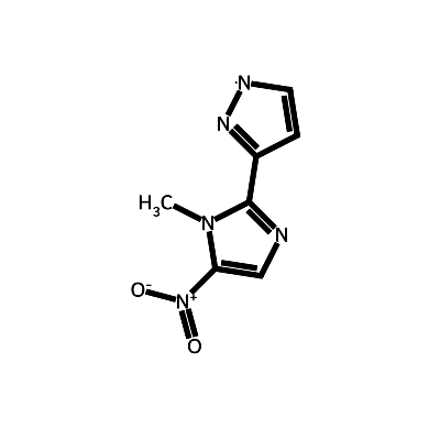 Cn1c([N+](=O)[O-])cnc1C1=N[N]C=C1